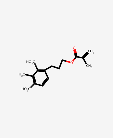 C=C(C)C(=O)OCCCc1ccc(C(=O)O)c(C)c1C(=O)O